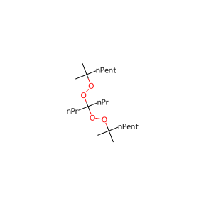 CCCCCC(C)(C)OOC(CCC)(CCC)OOC(C)(C)CCCCC